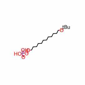 CC(C)(C)OCCCCCCCCCCCCOOP(=O)(O)O